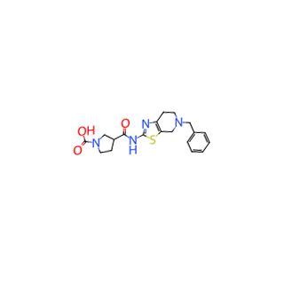 O=C(Nc1nc2c(s1)CN(Cc1ccccc1)CC2)C1CCN(C(=O)O)C1